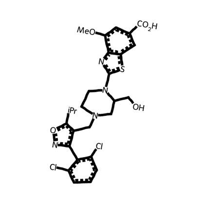 COc1cc(C(=O)O)cc2sc(N3CCN(Cc4c(-c5c(Cl)cccc5Cl)noc4C(C)C)CC3CO)nc12